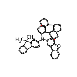 CC1(C)c2ccccc2-c2ccc(N(c3ccc4oc5ccccc5c4c3)c3ccccc3-c3cccc4cccc(-c5ccccc5)c34)cc21